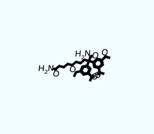 CC(=O)c1cc(C(C)=O)cc(C(CCCCCCCC(N)=O)(C(N)=O)c2cc(C(C)=O)cc(C(C)=O)c2)c1